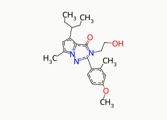 CCC(CC)c1cc(C)n2nc(-c3ccc(OC)cc3C)n(CCO)c(=O)c12